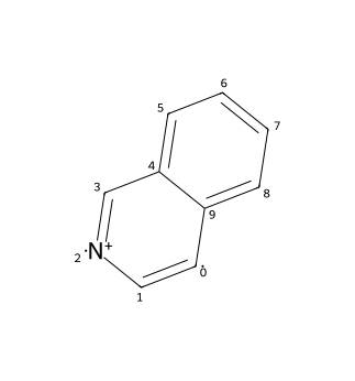 [C]1=C[N+]=Cc2ccccc21